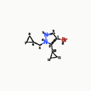 Brc1[c]nn(CC2CC2)c1C1CC1